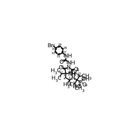 CC(C)C1(CC(=O)NC(C(C)C)(C(C)C)P(=O)(O)O)NC(=O)N(NC(=O)Nc2ccc(Br)cc2)C1=O